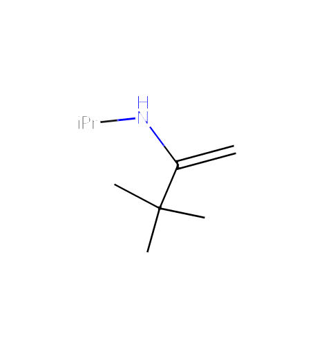 C=C(NC(C)C)C(C)(C)C